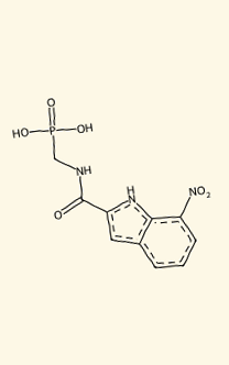 O=C(NCP(=O)(O)O)c1cc2cccc([N+](=O)[O-])c2[nH]1